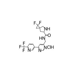 Cl.O=C(NCc1cc(-c2ccc(C(F)(F)F)nc2)ncn1)C1CC2(CN1)CC2(F)F